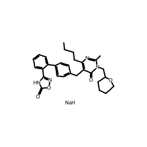 CCCCc1nc(C)n(CC2CCCCO2)c(=O)c1Cc1ccc(-c2ccccc2-c2noc(=O)[nH]2)cc1.[NaH]